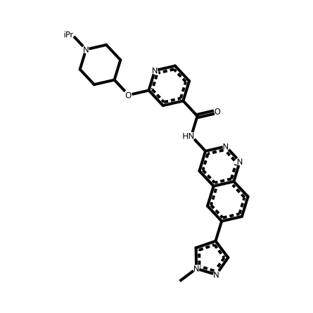 CC(C)N1CCC(Oc2cc(C(=O)Nc3cc4cc(-c5cnn(C)c5)ccc4nn3)ccn2)CC1